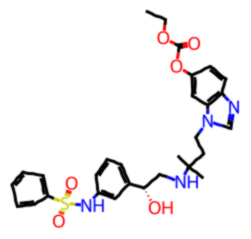 CCOC(=O)Oc1ccc2ncn(CCC(C)(C)NC[C@H](O)c3cccc(NS(=O)(=O)c4ccccc4)c3)c2c1